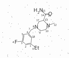 CCc1cc(F)cc(CN2CCN(C)C(C(N)=O)C2)c1